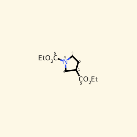 CCOC(=O)C1CCN(C(=O)OCC)C1